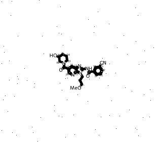 COCCCn1c(NC(=O)c2cccc(C#N)c2)nc2cc(C(=O)N3CCCC(O)C3)cnc21